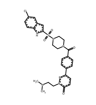 CN(C)CCn1nc(-c2ccc(C(=O)N3CCN(S(=O)(=O)c4cc5cc(Cl)ccc5[nH]4)CC3)cc2)ccc1=O